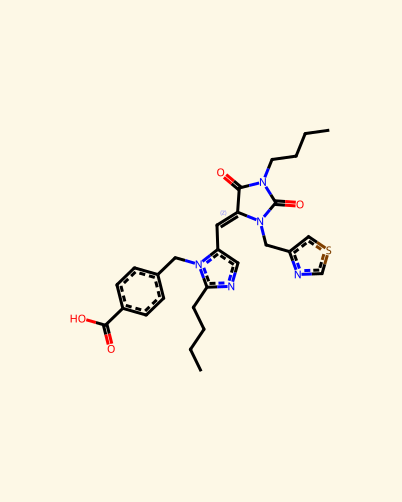 CCCCc1ncc(/C=C2/C(=O)N(CCCC)C(=O)N2Cc2cscn2)n1Cc1ccc(C(=O)O)cc1